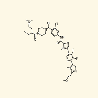 CCC(CCN(C)C)C(=O)N1CCN(C(=O)c2ccc(NC(=O)c3ncc(-c4ccc(-c5cnn(CCOC)c5C)c(F)c4F)n3C)cc2Cl)CC1